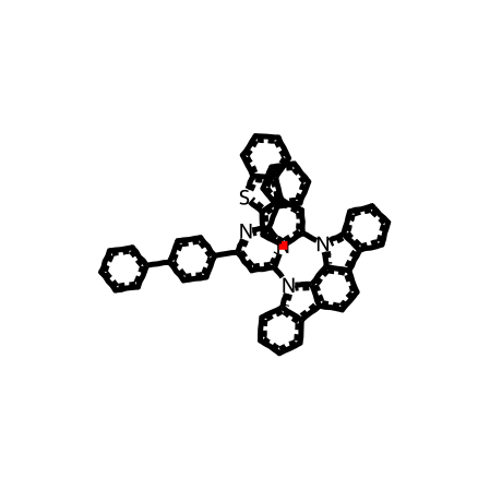 c1ccc(-c2ccc(-c3cc(-n4c5ccccc5c5ccc6c7ccccc7n(-c7ccc8sc9ccccc9c8c7)c6c54)nc(-c4ccccc4)n3)cc2)cc1